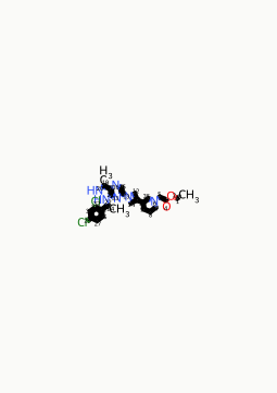 CCOC(=O)CN1CCCC(C2CN(c3cnc(C(C)=N)c(NC(C)c4ccc(Cl)cc4Cl)n3)C2)C1